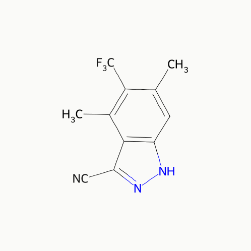 Cc1cc2[nH]nc(C#N)c2c(C)c1C(F)(F)F